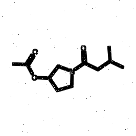 CC(=O)OC1CCN(C(=O)CC(C)C)C1